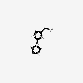 OCc1csc(-n2cncn2)n1